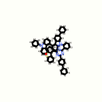 c1ccc(-c2ccc(C3=NC(c4ccccc4-n4c5cc(-c6ccccc6)ccc5c5c(-c6cccc7c6c6ccccc6n7-c6ccccc6)cccc54)NC(c4cccc5sc6ccccc6c45)=N3)cc2)cc1